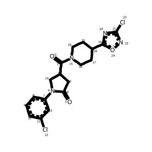 O=C(C1CC(=O)N(c2cccc(Cl)c2)C1)N1CCC(c2nc(Cl)no2)CC1